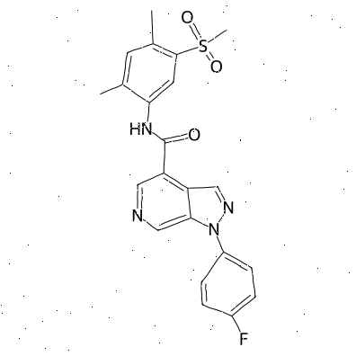 Cc1cc(C)c(S(C)(=O)=O)cc1NC(=O)c1cncc2c1cnn2-c1ccc(F)cc1